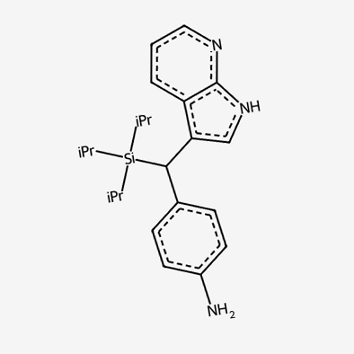 CC(C)[Si](C(C)C)(C(C)C)C(c1ccc(N)cc1)c1c[nH]c2ncccc12